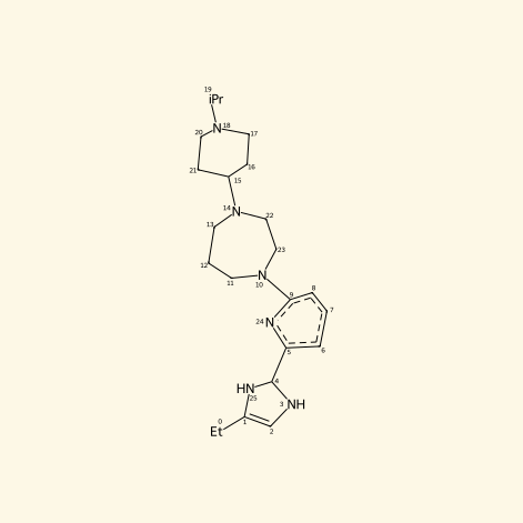 CCC1=CNC(c2cccc(N3CCCN(C4CCN(C(C)C)CC4)CC3)n2)N1